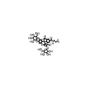 CN(C)CCNC(=O)c1ccc2c(c1)C(=O)OC21c2cc(Cl)c(O[C@@H]3OC(CO)[C@H](O)[C@H](O)C3O)cc2Oc2cc(O[C@H]3OC(CO)[C@@H](O)C(O)[C@H]3O)c(Cl)cc21